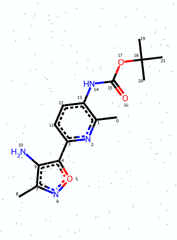 Cc1nc(-c2onc(C)c2N)ccc1NC(=O)OC(C)(C)C